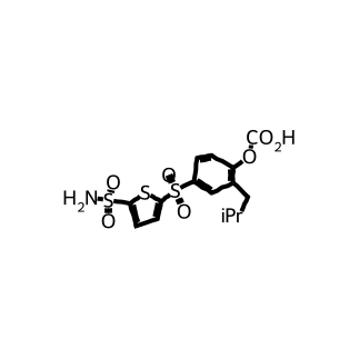 CC(C)Cc1cc(S(=O)(=O)c2ccc(S(N)(=O)=O)s2)ccc1OC(=O)O